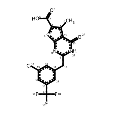 Cc1c(C(=O)O)sc2nc(Cc3cc(Cl)cc(C(F)(F)F)c3)[nH]c(=O)c12